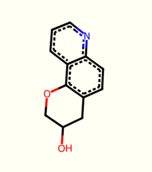 OC1COc2c(ccc3ncccc23)C1